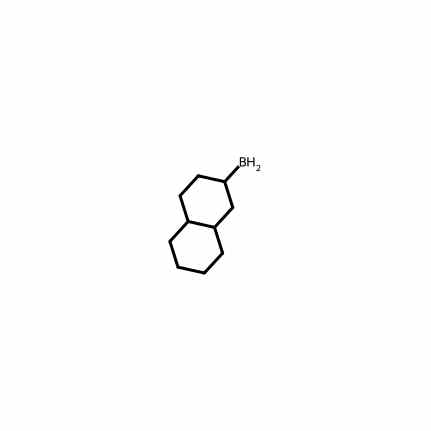 BC1CCC2CCCCC2C1